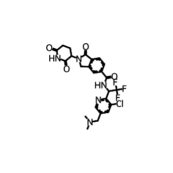 CN(C)Cc1cnc(C(NC(=O)c2ccc3c(c2)CN(C2CCC(=O)NC2=O)C3=O)C(F)(F)F)c(Cl)c1